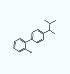 CC(C)C(C)c1ccc(-c2ccccc2F)cc1